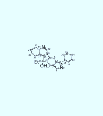 CCC(O)(c1ccc2c(cnn2-c2ccccc2)c1)c1ccnc2ccccc12